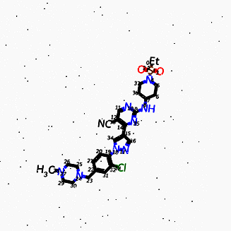 CCS(=O)(=O)N1CCC(Nc2ncc(C#N)c(-c3cnn(-c4ccc(CN5CCN(C)CC5)cc4Cl)c3)n2)CC1